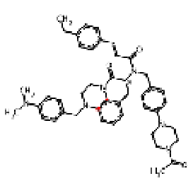 CCc1ccc(C=CC(=O)N(Cc2ccc(N3CCN(C(C)=O)CC3)cc2)[C@@H](Cc2ccccc2)C(=O)N2CCN(Cc3ccc(N(C)C)cc3)CC2)cc1